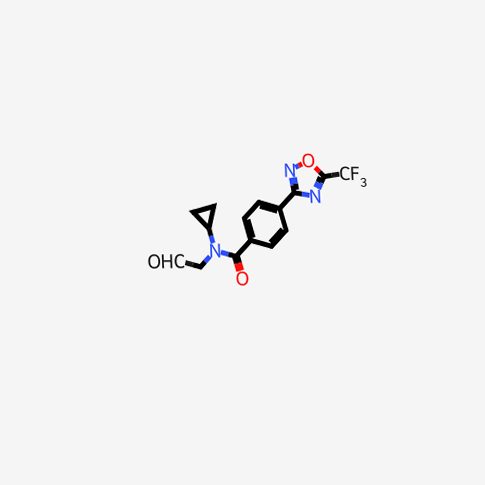 O=CCN(C(=O)c1ccc(-c2noc(C(F)(F)F)n2)cc1)C1CC1